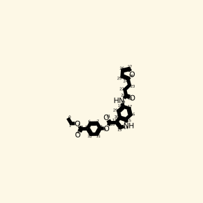 CCOC(=O)c1ccc(OC(=O)c2c[nH]c3ccc(NC(=O)CCc4ccco4)cc23)cc1